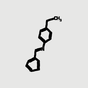 CCc1ccc(N=Cc2cc[c]cc2)cc1